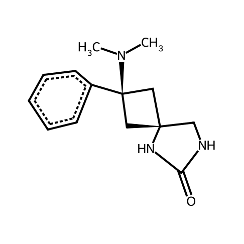 CN(C)[C@]1(c2ccccc2)C[C@]2(CNC(=O)N2)C1